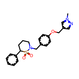 Cn1cc(COc2ccc(CN3CCCC(c4ccccc4)S3(=O)=O)cc2)cn1